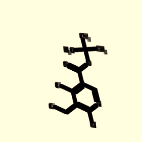 CC(C)(C)OC(=O)c1cnc(Cl)c(CCl)c1Cl